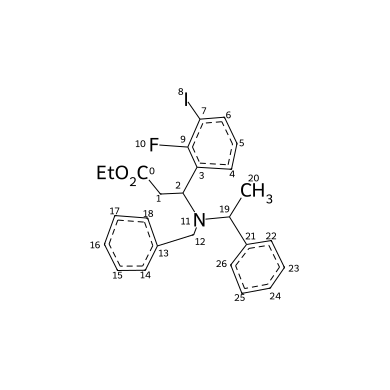 CCOC(=O)CC(c1cccc(I)c1F)N(Cc1ccccc1)C(C)c1ccccc1